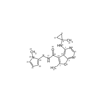 Cc1oc2ncnc(NC3(C)CC3)c2c1C(=O)NCc1cccn1C